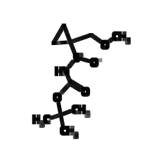 COCC1([S+]([O-])NC(=O)OC(C)(C)C)CC1